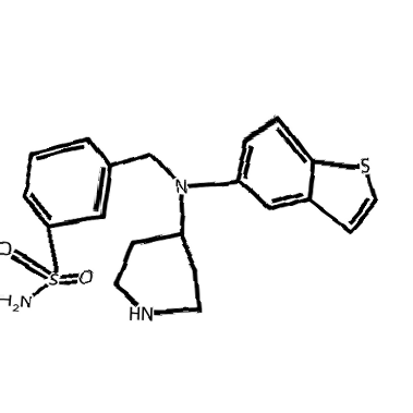 NS(=O)(=O)c1cccc(CN(c2ccc3sccc3c2)C2CCNCC2)c1